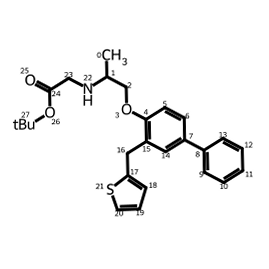 CC(COc1ccc(-c2ccccc2)cc1Cc1cccs1)NCC(=O)OC(C)(C)C